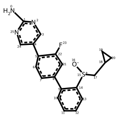 Nc1ncc(-c2ccc(-c3ccccc3[S+]([O-])CC3CC3)cc2F)cn1